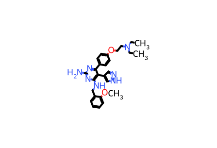 CCN(CC)CCOc1ccc(-c2nc(N)nc(NCc3ccccc3OC)c2-c2cn[nH]c2)cc1